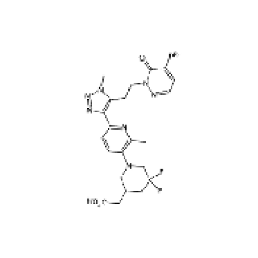 CCCc1ccnn(CCc2c(-c3ccc(N4CC(CC(=O)O)CC(F)(F)C4)c(C)n3)nnn2C)c1=O